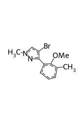 COc1c(C)cccc1-c1nn(C)cc1Br